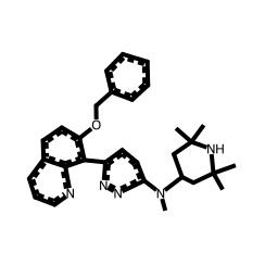 CN(c1ccc(-c2c(OCc3ccccc3)ccc3cccnc23)nn1)C1CC(C)(C)NC(C)(C)C1